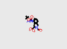 COC(=O)C1Cc2c(cccc2NC(=O)OC(C)(C)C)CN1C=O